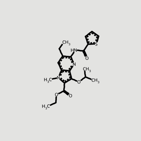 CCOC(=O)c1c(OC(C)C)c2nc(NC(=O)c3cccs3)c(CC)cc2n1C